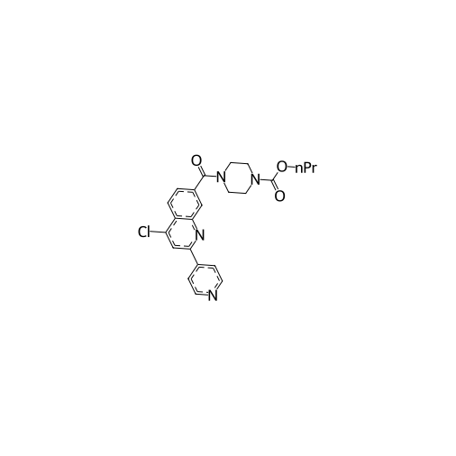 CCCOC(=O)N1CCN(C(=O)c2ccc3c(Cl)cc(-c4ccncc4)nc3c2)CC1